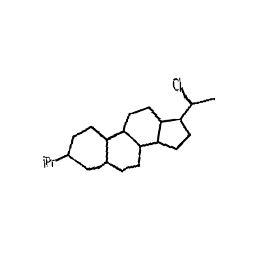 CC(C)C1CCC2C(CCC3C2CCC2C(C(C)Cl)CCC23)C1